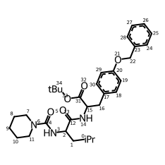 CC(C)CC(NC(=O)N1CCCCC1)C(=O)NC(Cc1ccc(OCc2ccccc2)cc1)C(=O)OC(C)(C)C